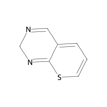 C1=CSC2=NCN=CC2=C1